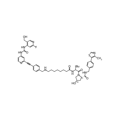 Cc1ncsc1-c1ccc(CNC(=O)[C@@H]2C[C@@H](O)CN2C(=O)C(NC(=O)CCCCCCCNCc2ccc(C#Cc3cc(NC(=O)Nc4cc(F)ncc4CO)ccn3)cc2)C(C)(C)C)cc1